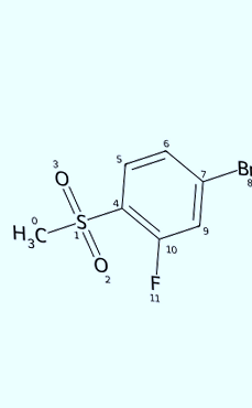 CS(=O)(=O)c1ccc(Br)cc1F